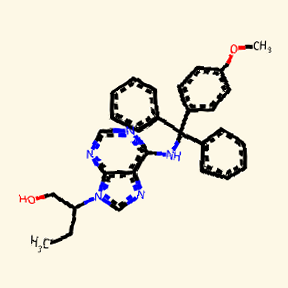 CCC(CO)n1cnc2c(NC(c3ccccc3)(c3ccccc3)c3ccc(OC)cc3)ncnc21